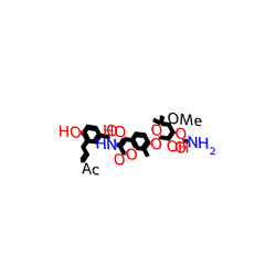 CO[C@@H]1[C@@H](OC(N)=O)[C@@H](O)[C@H](Oc2ccc3c(O)c(NC(=O)c4ccc(O)c(C/C=C/C(C)=O)c4)c(=O)oc3c2C)OC1(C)C